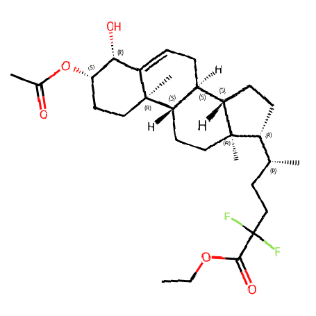 CCOC(=O)C(F)(F)CC[C@@H](C)[C@H]1CC[C@H]2[C@@H]3CC=C4[C@@H](O)[C@@H](OC(C)=O)CC[C@]4(C)[C@H]3CC[C@]12C